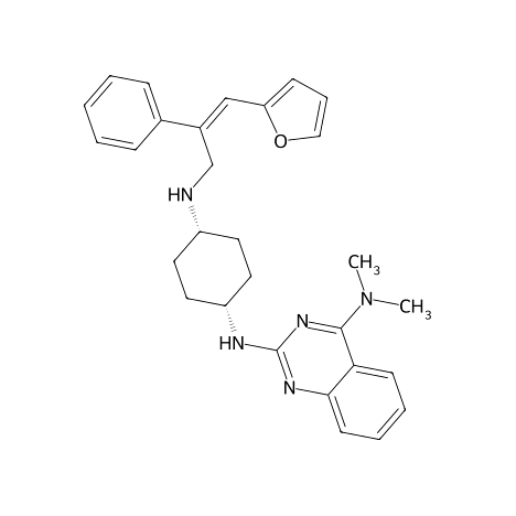 CN(C)c1nc(N[C@H]2CC[C@@H](NC/C(=C\c3ccco3)c3ccccc3)CC2)nc2ccccc12